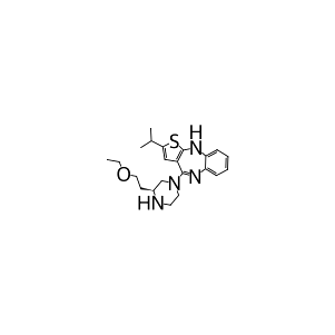 CCOCC[C@H]1CN(C2=Nc3ccccc3Nc3sc(C(C)C)cc32)CCN1